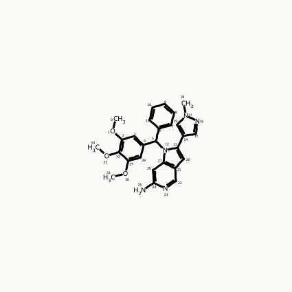 COc1cc(C(c2ccccc2)n2c(-c3cnn(C)c3)cc3cnc(N)cc32)cc(OC)c1OC